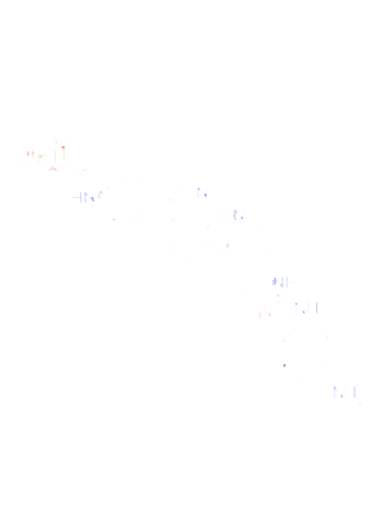 NCc1cccc(NC(=O)Nc2ccc(-c3csc4c(-c5ccc(NCO[SH](=O)=O)cc5)cnc(N)c34)cc2)c1